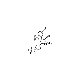 C[C@@H](NC(=O)c1ccc(SC(F)(F)F)cc1)C(C#N)Oc1cc(C#N)ccc1C(F)(F)F